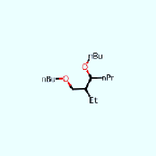 CCCCOCC(CC)C(CCC)OCCCC